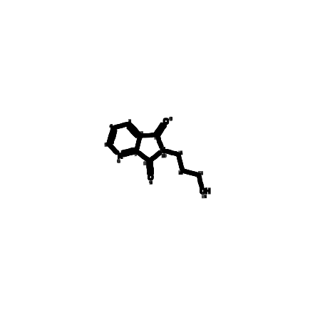 O=C1c2cccnc2C(=O)N1CCCO